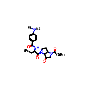 CCN(CC)c1ccc(C(=O)NC(CC(C)C)C(=O)N2CCC3C2C(=O)CN3C(=O)OCC(C)C)cc1